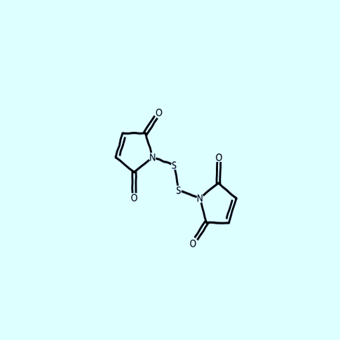 O=C1C=CC(=O)N1SSN1C(=O)C=CC1=O